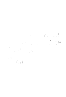 CC1(C)CCc2c(ccc3c2OCC(c2ccccc2O)C3)O1